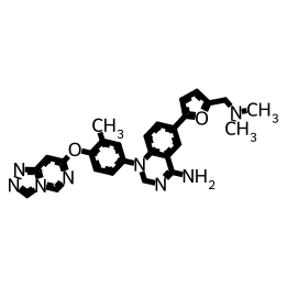 Cc1cc(N2CN=C(N)c3cc(-c4ccc(CN(C)C)o4)ccc32)ccc1Oc1cc2nncn2cn1